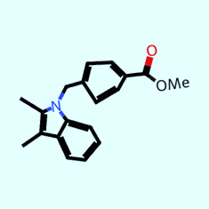 COC(=O)c1ccc(Cn2c(C)c(C)c3ccccc32)cc1